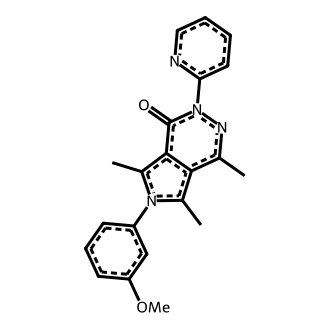 COc1cccc(-n2c(C)c3c(C)nn(-c4ccccn4)c(=O)c3c2C)c1